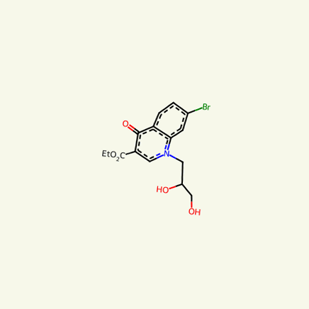 CCOC(=O)c1cn(CC(O)CO)c2cc(Br)ccc2c1=O